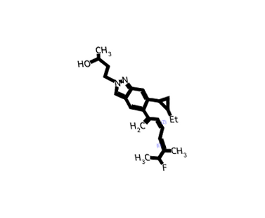 C=C(/C=C\C=C(/C)C(C)F)c1cc2cn(CCC(C)O)nc2cc1C1CC1CC